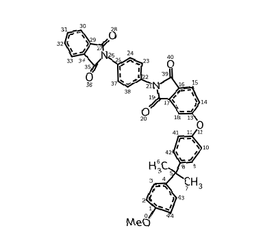 COc1ccc(C(C)(C)c2ccc(Oc3ccc4c(c3)C(=O)N(c3ccc(N5C(=O)c6ccccc6C5=O)cc3)C4=O)cc2)cc1